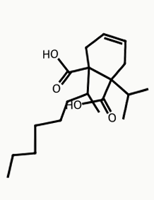 CCCCCCC(C)C1(C(=O)O)CC=CCC1(C(=O)O)C(C)C